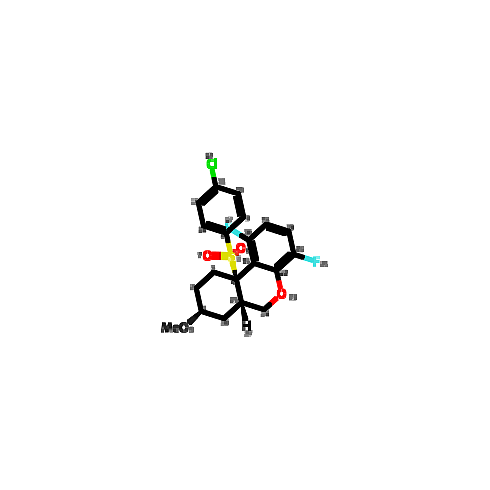 CO[C@H]1CC[C@]2(S(=O)(=O)c3ccc(Cl)cc3)c3c(F)ccc(F)c3OC[C@@H]2C1